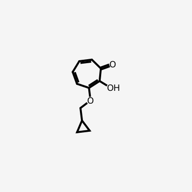 O=c1ccccc(OCC2CC2)c1O